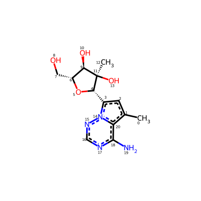 Cc1cc([C@@H]2O[C@H](CO)[C@@H](O)[C@@]2(C)O)n2ncnc(N)c12